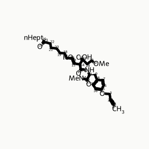 CC#CCOc1ccc(C[C@H](NC(=O)C(/C=C/CCCCCCC(=O)CCCCCCC)C(O)(CCOC)C(=O)O)C(=O)NC)cc1